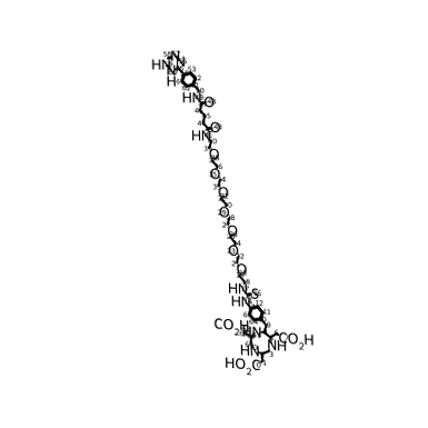 O=C(O)CC1CNC(CC(=O)O)C(Cc2ccc(NC(=S)NCCOCCOCCOCCOCCOCCOCCOCCNC(=O)CCCC(=O)NCc3ccc(C4=NN=CNN4)cc3)cc2)NC(CC(=O)O)CN1